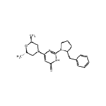 C[C@H]1CN(c2cc(=O)[nH]c(N3CCCC3Cc3ccccc3)n2)C[C@H](C)O1